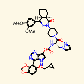 COc1ccc(C2=NN(C3CCN(C(=O)[C@H](Cn4cccn4)NC(=O)Oc4c[nH]c5c(-c6c(OCC7CC7)ccc7c6OCO7)ncnc45)CC3)C(=O)[C@@H]3CCCC[C@H]23)cc1OC